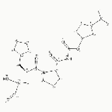 CC(C)N1CCC(OC(=O)NC(=O)[C@@H]2CCCN2C(=O)[C@H](CC2CCCC2)CN(O)C=O)C1